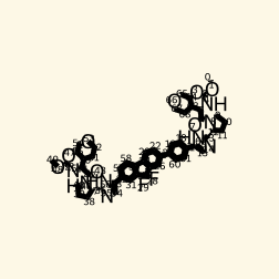 COC(=O)NC(C(=O)N1CCC[C@H]1c1ncc(-c2ccc(-c3ccc4c(c3)C(F)(F)c3cc(-c5cnc([C@@H]6CCCN6C(=O)[C@@H](NC(=O)OC)C6CCOCC6)[nH]5)ccc3-4)cc2)[nH]1)C1CCOCC1